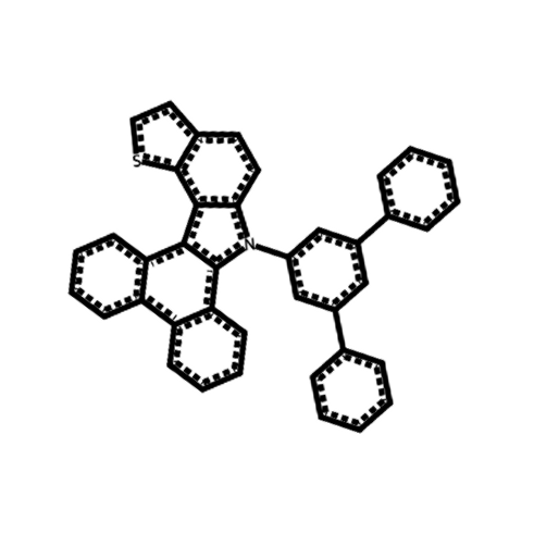 c1ccc(-c2cc(-c3ccccc3)cc(-n3c4ccc5ccsc5c4c4c5ccccc5c5ccccc5c43)c2)cc1